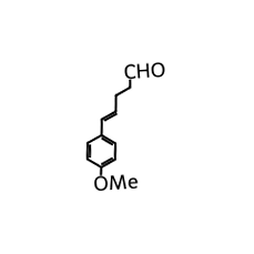 COc1ccc(/C=C/CCC=O)cc1